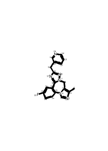 Cc1ncn2c1Cn1nc(Cc3cccnc3)nc1-c1cc(F)ccc1-2